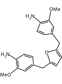 COc1cc(Cc2ccc(Cc3ccc(N)c(OC)c3)o2)ccc1N